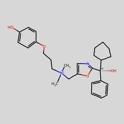 C[N+](C)(CCCOc1ccc(O)cc1)Cc1cnc([C@](O)(c2ccccc2)C2CCCCC2)o1